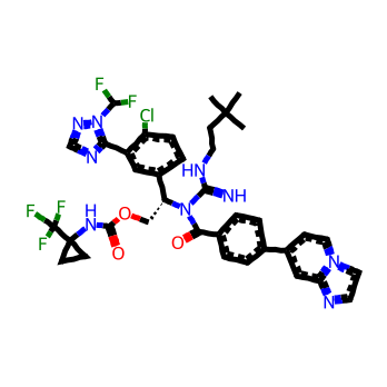 CC(C)(C)CCNC(=N)N(C(=O)c1ccc(-c2ccn3ccnc3c2)cc1)[C@H](COC(=O)NC1(C(F)(F)F)CC1)c1ccc(Cl)c(-c2ncnn2C(F)F)c1